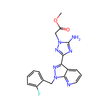 COC(=O)Cn1nc(-c2nn(Cc3ccccc3F)c3ncccc23)nc1N